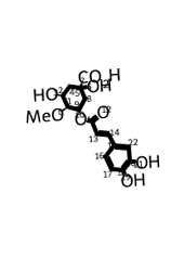 CO[C@@H]1[C@H](O)C[C@@](O)(C(=O)O)C[C@H]1OC(=O)/C=C/c1ccc(O)c(O)c1